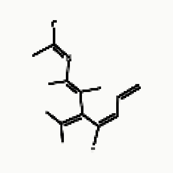 C=C/C=C(/F)C(=C(C)C)/C(C)=C(C)/N=C(\C)Cl